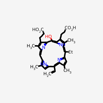 C=Cc1c2nc(c(CC)c3[nH]c(c(O)c4nc(cc5[nH]c1cc5C)C(C)=C4CCC(=O)O)c(CCC(=O)O)c3C)C=C2C